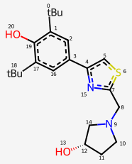 CC(C)(C)c1cc(-c2csc(CN3CC[C@H](O)C3)n2)cc(C(C)(C)C)c1O